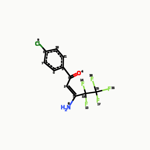 N/C(=C/C(=O)c1ccc(Cl)cc1)C(F)(F)C(F)(F)F